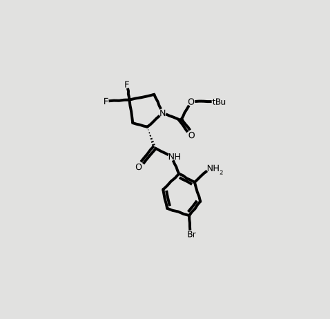 CC(C)(C)OC(=O)N1CC(F)(F)C[C@H]1C(=O)Nc1ccc(Br)cc1N